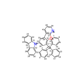 c1ccc([Si](c2ccccc2)(c2ccccc2)c2cc(-n3c4ccccc4c4ccccc43)cc3c2oc2ncccc23)cc1